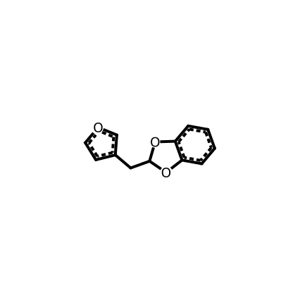 c1ccc2c(c1)OC(Cc1ccoc1)O2